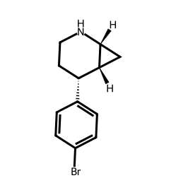 Brc1ccc([C@@H]2CCN[C@@H]3C[C@@H]32)cc1